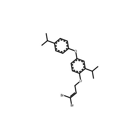 CC(C)c1ccc(Oc2ccc(OCC=C(Br)Br)c(C(C)C)c2)cc1